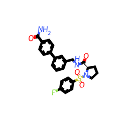 NC(=O)c1ccc(-c2cccc(CNC(=O)[C@@H]3CCCN3S(=O)(=O)c3ccc(F)cc3)c2)cc1